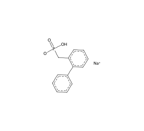 O=P([O-])(O)Cc1ccccc1-c1ccccc1.[Na+]